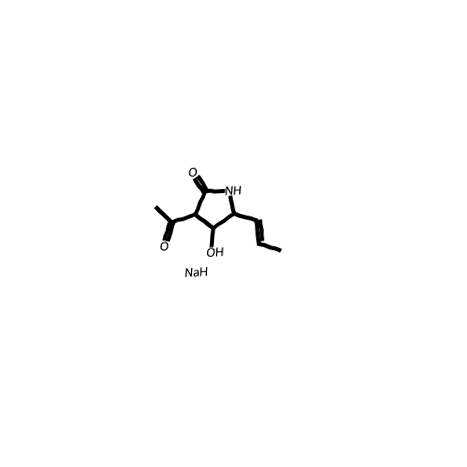 CC=CC1NC(=O)C(C(C)=O)C1O.[NaH]